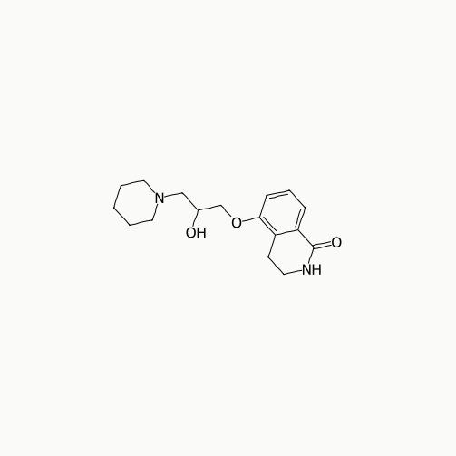 O=C1NCCc2c(OCC(O)CN3CCCCC3)cccc21